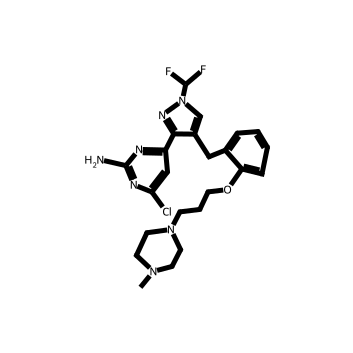 CN1CCN(CCCOc2ccccc2Cc2cn(C(F)F)nc2-c2cc(Cl)nc(N)n2)CC1